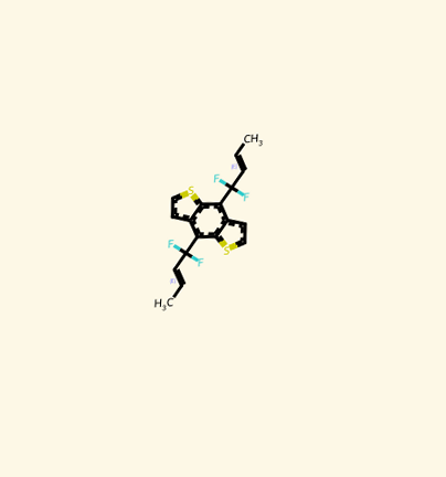 C/C=C/C(F)(F)c1c2ccsc2c(C(F)(F)/C=C/C)c2ccsc12